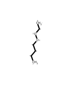 [CH2]COOCCCC